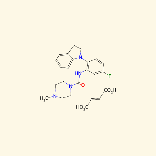 CN1CCN(C(=O)Nc2cc(F)ccc2N2CCc3ccccc32)CC1.O=C(O)C=CC(=O)O